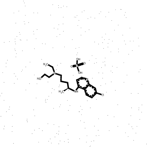 CCN(CCO)CCC[C@H](C)Nc1ccnc2cc(Cl)ccc12.O=S(=O)(O)O